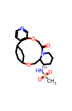 CS(=O)(=O)N[C@H]1CCCN2C(=O)COc3cnccc3C3CCC(CC3)OCC12